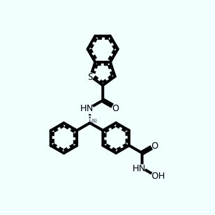 O=C(NO)c1ccc([C@@H](NC(=O)c2cc3ccccc3s2)c2ccccc2)cc1